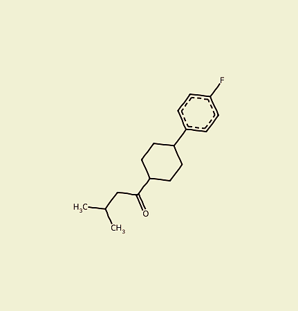 CC(C)CC(=O)C1CCC(c2ccc(F)cc2)CC1